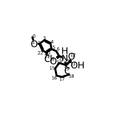 COc1ccc(CC(=O)NC2(C(=O)O)CCCCCC2)c(Cl)c1